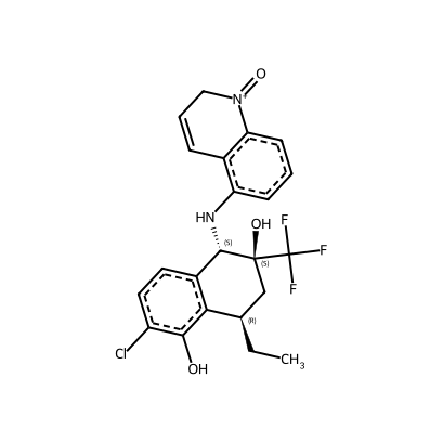 CC[C@@H]1C[C@@](O)(C(F)(F)F)[C@@H](Nc2cccc3c2C=CC[N+]3=O)c2ccc(Cl)c(O)c21